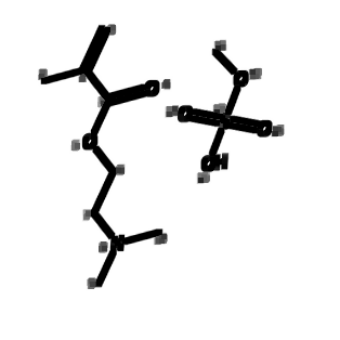 C=C(C)C(=O)OCCN(C)C.COS(=O)(=O)O